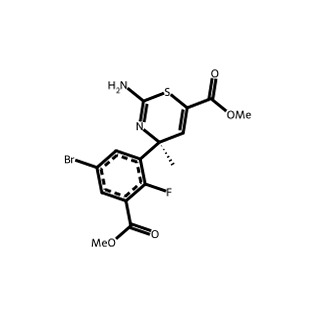 COC(=O)C1=C[C@@](C)(c2cc(Br)cc(C(=O)OC)c2F)N=C(N)S1